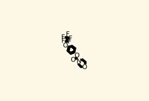 O=C(Oc1ccc(OC(F)(F)C(F)(F)F)cc1)N1CCOCC1